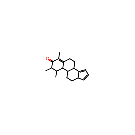 CC1=C2CCC3C4=CC=CC4CCC3C2C(C)C(C)C1=O